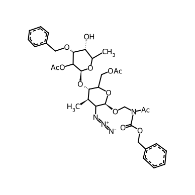 CC(=O)OCC1O[C@@H](OCN(C(C)=O)C(=O)OCc2ccccc2)C(N=[N+]=[N-])[C@@H](C)[C@@H]1O[C@@H]1OC(C)[C@@H](O)[C@@H](OCc2ccccc2)C1OC(C)=O